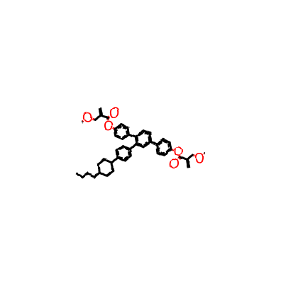 C=C(COC)C(=O)Oc1ccc(-c2ccc(-c3ccc(OC(=O)C(=C)COC)cc3)c(-c3ccc(C4CCC(CCCC)CC4)cc3)c2)cc1